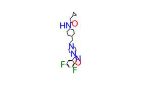 O=C(CC1CC1)NC1CCC(CCN2CCN(c3noc4c(F)cc(F)cc34)CC2)CC1